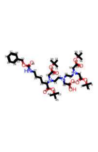 CC(C)(C)OC(=O)CN(CCN(CCN(CC(=O)OC(C)(C)C)C(CCCCNC(=O)OCc1ccccc1)C(=O)OC(C)(C)C)CC(=O)O)CC(=O)OC(C)(C)C